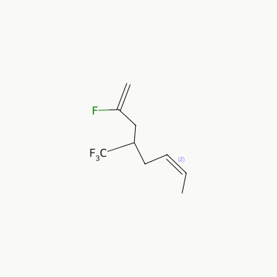 C=C(F)CC(C/C=C\C)C(F)(F)F